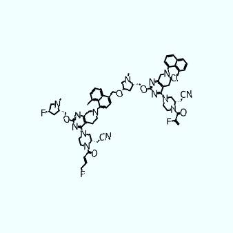 C=C(F)C(=O)N1CCN(c2nc(OC[C@@H]3C[C@@H](OCc4ccc(N5CCc6c(nc(OC[C@@H]7C[C@@H](F)CN7C)nc6N6CCN(C(=O)/C=C/CF)[C@@H](CC#N)C6)C5)c5c(C)cccc45)CN3C)nc3c2CCN(c2cccc4cccc(Cl)c24)C3)C[C@@H]1CC#N